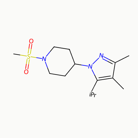 Cc1nn(C2CCN(S(C)(=O)=O)CC2)c(C(C)C)c1C